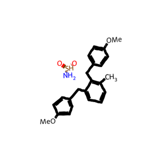 COc1ccc(Cc2cccc(C)c2Cc2ccc(OC)cc2)cc1.N[SH](=O)=O